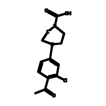 CC(=O)c1ccc(N2CCN(C(=O)O)CC2)cc1Cl